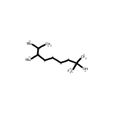 CC(C(CCCCC(O)(C(F)(F)F)C(F)(F)F)C(C)(C)C)C(C)(C)C